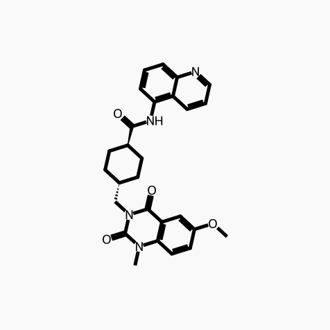 COc1ccc2c(c1)c(=O)n(C[C@H]1CC[C@H](C(=O)Nc3cccc4ncccc34)CC1)c(=O)n2C